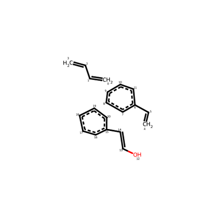 C=CC=C.C=Cc1ccccc1.OC=Cc1ccccc1